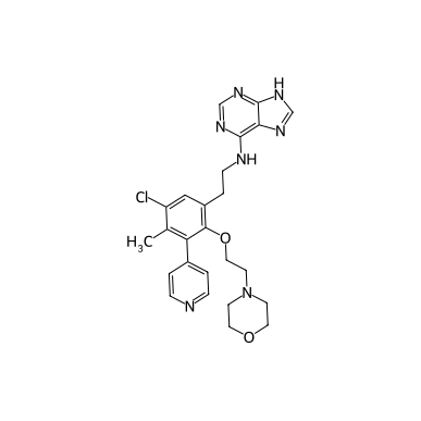 Cc1c(Cl)cc(CCNc2ncnc3[nH]cnc23)c(OCCN2CCOCC2)c1-c1ccncc1